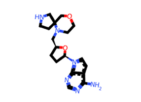 Nc1ncnc2c1ccn2[C@H]1CC[C@@H](CN2CCOCC23CCNC3)O1